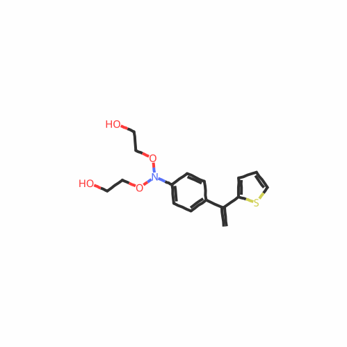 C=C(c1ccc(N(OCCO)OCCO)cc1)c1cccs1